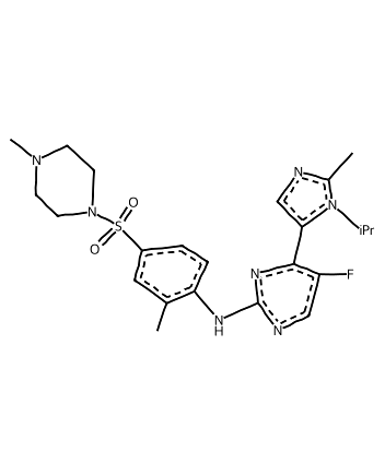 Cc1cc(S(=O)(=O)N2CCN(C)CC2)ccc1Nc1ncc(F)c(-c2cnc(C)n2C(C)C)n1